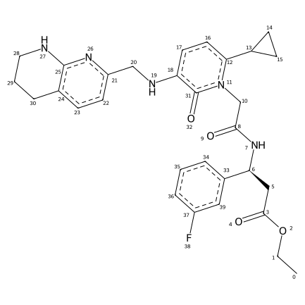 CCOC(=O)C[C@H](NC(=O)Cn1c(C2CC2)ccc(NCc2ccc3c(n2)NCCC3)c1=O)c1cccc(F)c1